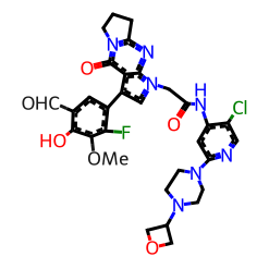 COc1c(O)c(C=O)cc(-c2cn(CC(=O)Nc3cc(N4CCN(C5COC5)CC4)ncc3Cl)c3nc4n(c(=O)c23)CCC4)c1F